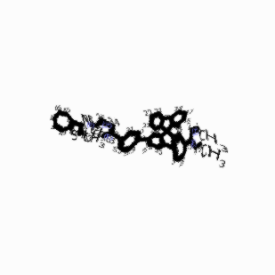 C/C=C\C(=C/CC)c1ccc2c(c1)C1(c3ccccc3-c3ccccc31)c1cc(-c3ccc(C(/C=C\C(C)=N\c4c(C)sc5c4C=CCC=C5)=C/C)cc3)ccc1-2